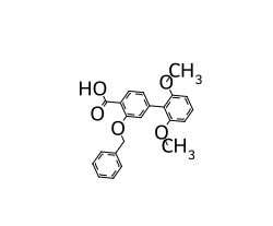 COc1cccc(OC)c1-c1ccc(C(=O)O)c(OCc2ccccc2)c1